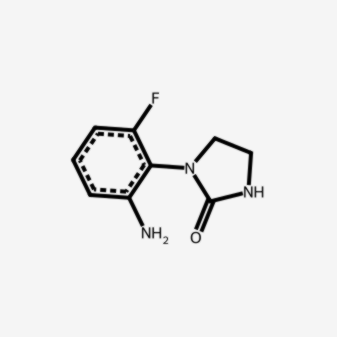 Nc1cccc(F)c1N1CCNC1=O